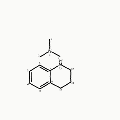 CN(C)C.c1ccc2c(c1)CCCN2